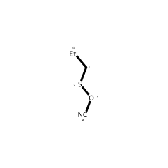 CCCSOC#N